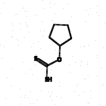 S=C(S)OC1CCCC1